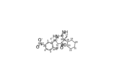 C[C@@]1(c2cc([N+](=O)[O-])ccc2F)CS(=O)(=O)[C@@](C)(C2CCCCC2)C(=N)N1